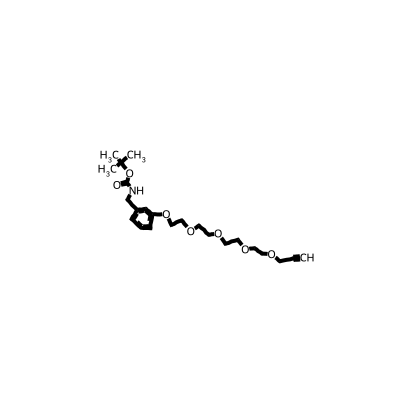 C#CCOCCOCCOCCOCCOc1cccc(CNC(=O)OC(C)(C)C)c1